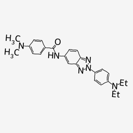 CCN(CC)c1ccc(-n2nc3ccc(NC(=O)c4ccc(N(C)C)cc4)cc3n2)cc1